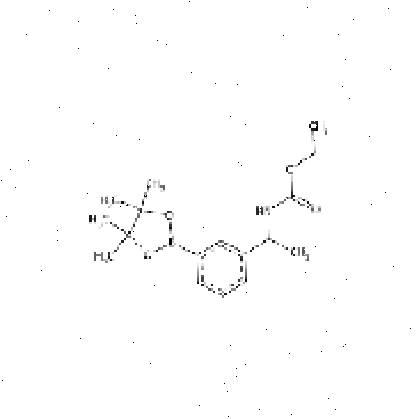 CCOC(=O)NC(C)c1cccc(B2OC(C)(C)C(C)(C)O2)c1